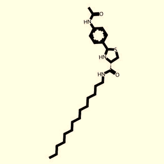 CCCCCCCCCCCCCCNC(=O)[C@H]1CSC(c2ccc(NC(C)=O)cc2)N1